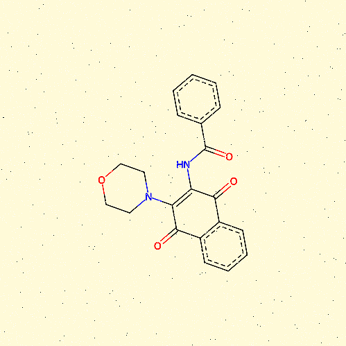 O=C(NC1=C(N2CCOCC2)C(=O)c2ccccc2C1=O)c1ccccc1